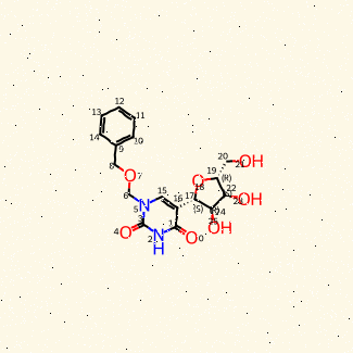 O=c1[nH]c(=O)n(COCc2ccccc2)cc1[C@@H]1O[C@H](CO)[C@@H](O)[C@H]1O